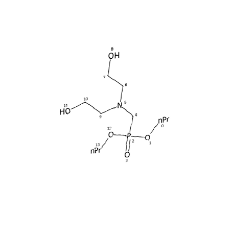 CCCOP(=O)(CN(CCO)CCO)OCCC